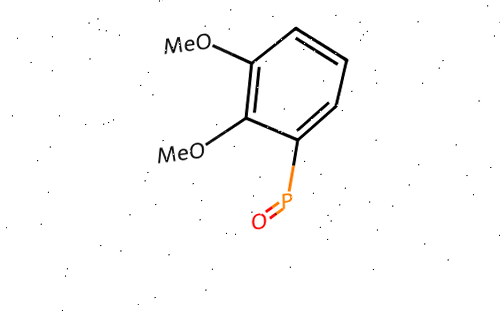 COc1cccc(P=O)c1OC